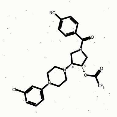 N#Cc1ccc(C(=O)N2C[C@H](OC(=O)C(F)(F)F)[C@@H](N3CCN(c4cccc(Cl)c4)CC3)C2)cc1